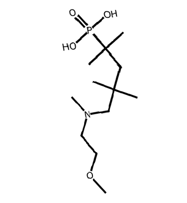 COCCN(C)CC(C)(C)CC(C)(C)P(=O)(O)O